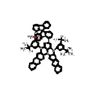 CC(C)(C)c1cc(N2c3cc4cc5ccccc5cc4cc3B3c4cc5cc6ccccc6cc5cc4N(c4cc(C(C)(C)C)cc(C(C)(C)C)c4)c4cc(-c5cccc6c5-c5ccccc5C65c6ccccc6-c6ccccc65)cc2c43)cc(C(C)(C)C)c1